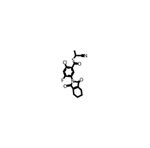 CC(C#N)SC(=O)c1cc(N2C(=O)C3=C(CCCC3)C2=O)c(F)cc1Cl